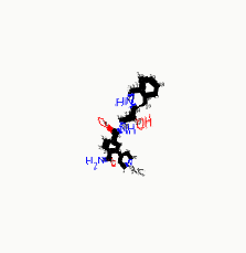 CC(=O)N1CCC(c2cc(C(=O)NC[C@@H](O)[C@@H]3Cc4ccccc4CN3)ccc2C(N)=O)CC1